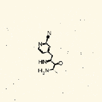 C[C@H](N)C(=O)C(=N)Cc1ccnc(C#N)c1